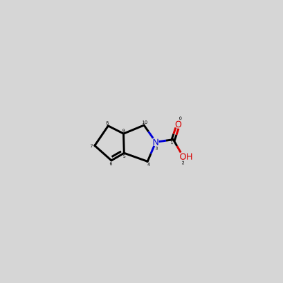 O=C(O)N1CC2=CCCC2C1